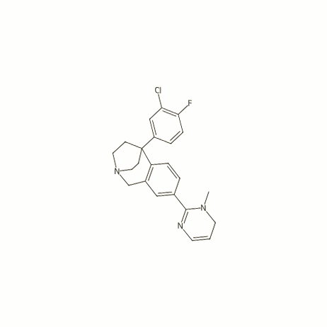 CN1CC=CN=C1c1ccc2c(c1)CN1CCC2(c2ccc(F)c(Cl)c2)CC1